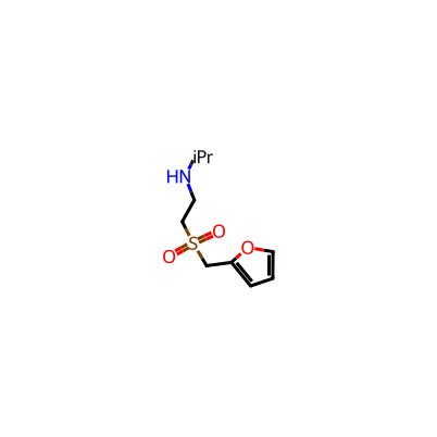 CC(C)NCCS(=O)(=O)Cc1ccco1